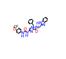 O=C(Nc1ccc(OC(F)(F)F)cc1)Nc1cn(Cc2ccccc2)c(C(=O)NCc2nc3ccccc3[nH]2)n1